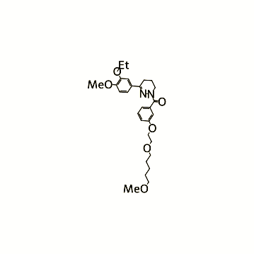 CCOc1cc(C2=NN(C(=O)c3cccc(OCCOCCCCCOC)c3)CCC2)ccc1OC